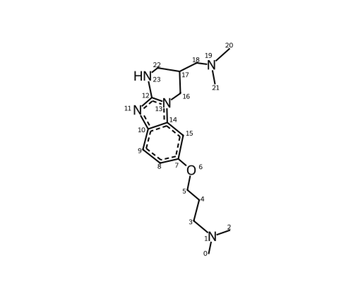 CN(C)CCCOc1ccc2nc3n(c2c1)CC(CN(C)C)CN3